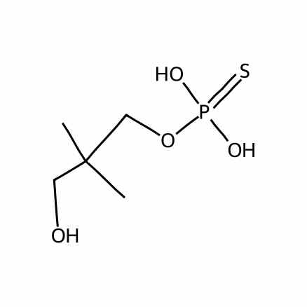 CC(C)(CO)COP(O)(O)=S